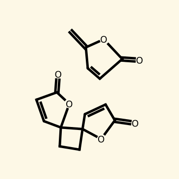 C=C1C=CC(=O)O1.O=C1C=CC2(CCC23C=CC(=O)O3)O1